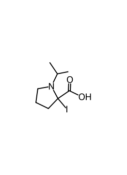 CC(C)N1CCCC1(I)C(=O)O